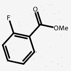 COC(=O)c1[c]cccc1F